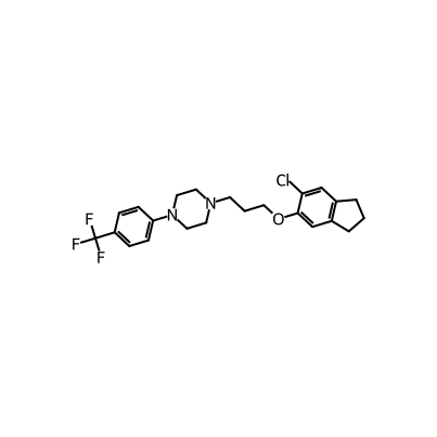 FC(F)(F)c1ccc(N2CCN(CCCOc3cc4c(cc3Cl)CCC4)CC2)cc1